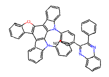 N#Cc1cc(-c2nc3ccccc3nc2-c2ccccc2)ccc1-n1c2ccccc2c2c3oc4ccccc4c3c3c4ccccc4n(-c4ccccc4)c3c21